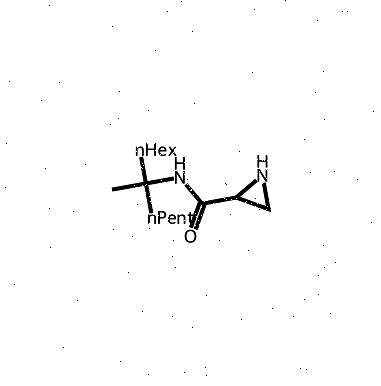 CCCCCCC(C)(CCCCC)NC(=O)C1CN1